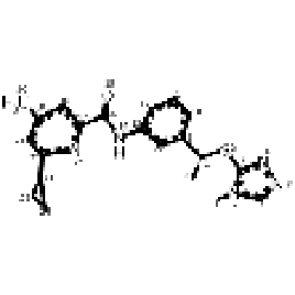 C[C@H](Sc1nncn1C)c1cccc(NC(=O)c2cc(C(F)(F)F)cc(C3CC3)n2)c1